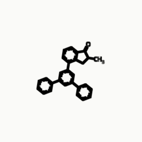 CC1Cc2c(cccc2-c2cc(-c3ccccc3)cc(-c3ccccc3)c2)C1=O